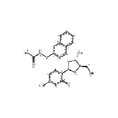 Nc1ccn([C@H]2C[C@H](O)[C@@H](CO)O2)c(=O)n1.O=C(O)NCc1ccc2ccccc2c1